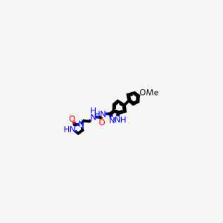 COc1ccc(-c2ccc3c(NC(=O)NCCN4CCNC4=O)n[nH]c3c2)cc1